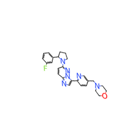 Fc1cccc(C2CCCN2c2ccc3ncc(-c4ccc(CN5CCOCC5)cn4)n3n2)c1